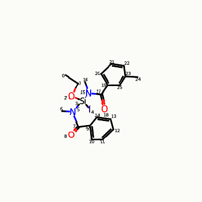 CCO[Si](I)(N(C)C(=O)c1ccccc1)N(C)C(=O)c1cccc(C)c1